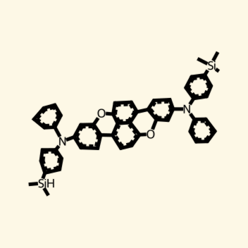 C[SiH](C)c1ccc(N(c2ccccc2)c2ccc3c(c2)Oc2ccc4c5c(ccc-3c25)Oc2cc(N(c3ccccc3)c3ccc([Si](C)(C)C)cc3)ccc2-4)cc1